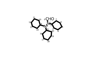 O=CN(C1CCCCC1)N(C1CCCCC1)C1CCCCC1